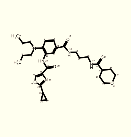 CCCN(CCC)c1ccc(C(=O)NCCCNC(=S)C2CCOCC2)cc1NC(=O)c1coc(C2CC2)n1